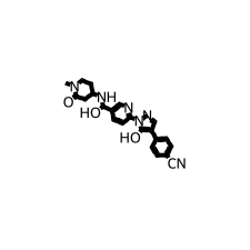 CN1CCC(NC(O)c2ccc(-n3ncc(-c4ccc(C#N)cc4)c3O)nc2)CC1=O